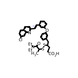 CCN(CC)C(=O)C(C)SSC(CCC(=O)O)Cc1cccc(Oc2cccc(/C=C/c3ccc4ccc(Cl)cc4n3)c2)c1